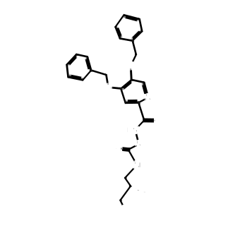 O=C(NC[C@H](O)CO)NNC(=O)c1cc(OCc2ccccc2)c(OCc2ccccc2)cn1